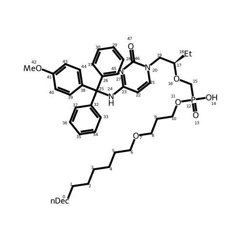 CCCCCCCCCCCCCCCCOCCCOP(=O)(O)CO[C@H](CC)Cn1ccc(NC(c2ccccc2)(c2ccccc2)c2ccc(OC)cc2)nc1=O